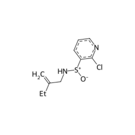 C=C(CC)CN[S+]([O-])c1cccnc1Cl